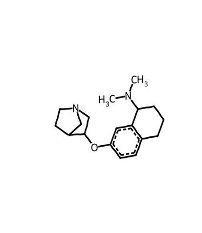 CN(C)C1CCCc2ccc(OC3CN4CCC3C4)cc21